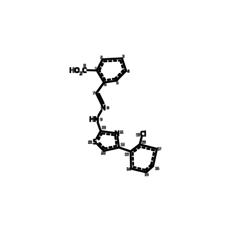 O=C(O)c1ccccc1/C=N/Nc1nc(-c2ccccc2Cl)cs1